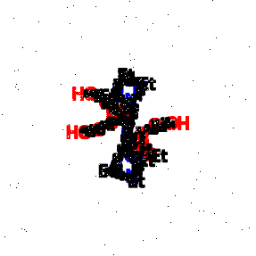 CCOCCOCC(COCCOCCO)N(CCN(CC(O)CN1CCN(CC)CCN(CC)CCN(CC)CC1)C(COCCOCCO)COCCOCCO)CC(O)CN1CCN(CC)CCN(CC)CCN(CC)CC1